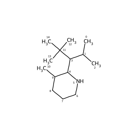 CC(C)C(C1NCCCC1C)C(C)(C)C